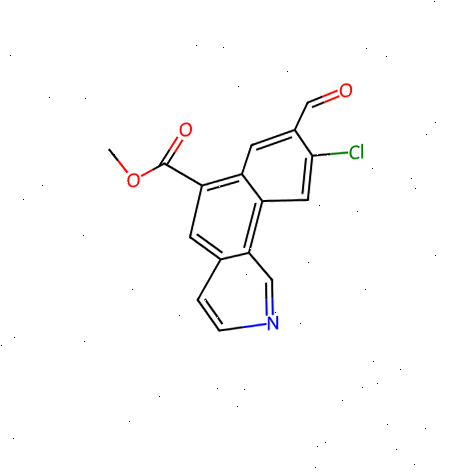 COC(=O)c1cc2ccncc2c2cc(Cl)c(C=O)cc12